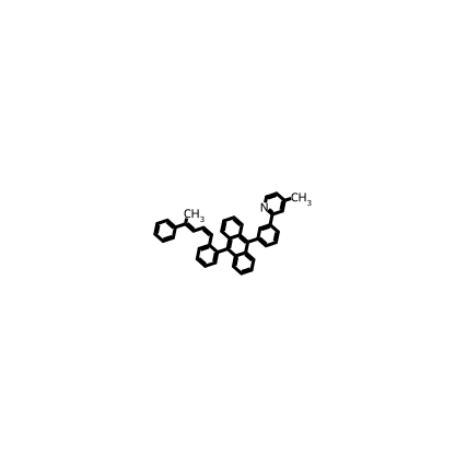 C/C(=C\C=C/c1ccccc1-c1c2ccccc2c(-c2cccc(-c3cc(C)ccn3)c2)c2ccccc12)c1ccccc1